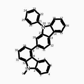 Cn1c2ccccc2c2c(-c3ccc4c5ccccc5n(-c5ccccc5)c4c3)cccc21